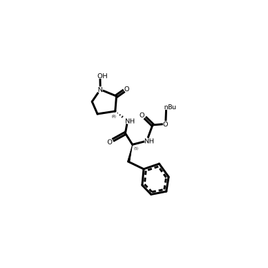 CCCCOC(=O)N[C@@H](Cc1ccccc1)C(=O)N[C@@H]1CCN(O)C1=O